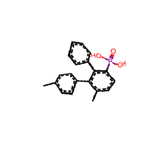 Cc1ccc(-c2c(C)ccc(P(=O)(O)O)c2-c2ccccc2)cc1